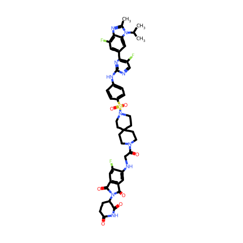 Cc1nc2c(F)cc(-c3nc(Nc4ccc(S(=O)(=O)N5CCC6(CCN(C(=O)CNc7cc8c(cc7F)C(=O)N(C7CCC(=O)NC7=O)C8=O)CC6)CC5)cc4)ncc3F)cc2n1C(C)C